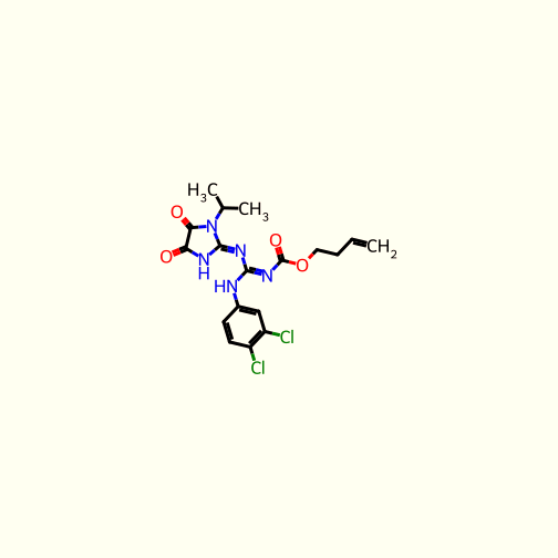 C=CCCOC(=O)N=C(N=C1NC(=O)C(=O)N1C(C)C)Nc1ccc(Cl)c(Cl)c1